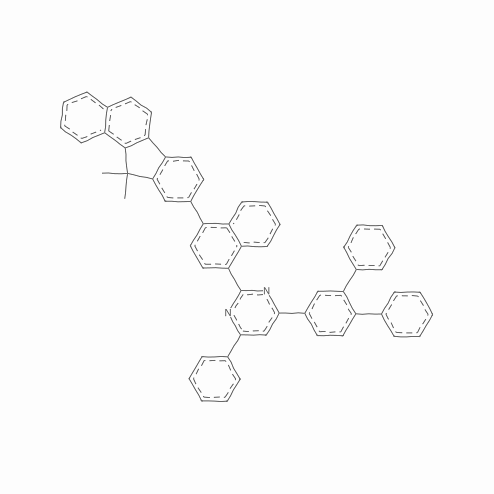 CC1(C)c2cc(-c3ccc(-c4nc(-c5ccccc5)cc(-c5ccc(-c6ccccc6)c(-c6ccccc6)c5)n4)c4ccccc34)ccc2-c2ccc3ccccc3c21